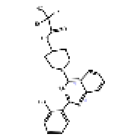 C=C(/N=C1/C=CC=C/C1=C(/N)N1CCC(NC(=O)C(O)(CC)CC)CC1)c1ccccc1O